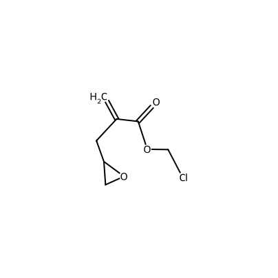 C=C(CC1CO1)C(=O)OCCl